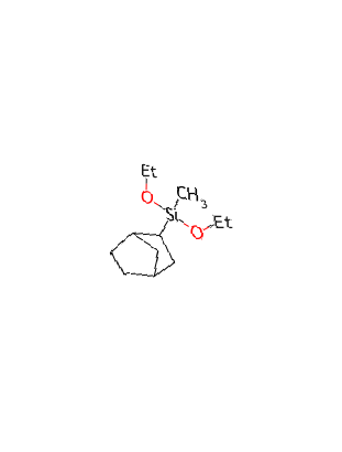 CCO[Si](C)(OCC)C1CC2CCC1C2